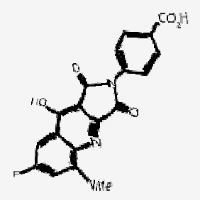 CNc1cc(F)cc2c(O)c3c(nc12)C(=O)N(c1ccc(C(=O)O)cc1)C3=O